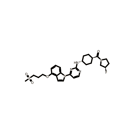 CS(=O)(=O)CCCOc1cccc2c1ccn2-c1ccnc(N[C@H]2CC[C@H](C(=O)N3CC[C@@H](F)C3)CC2)n1